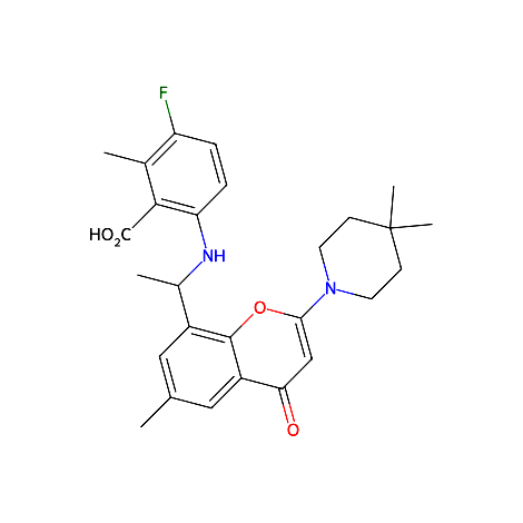 Cc1cc(C(C)Nc2ccc(F)c(C)c2C(=O)O)c2oc(N3CCC(C)(C)CC3)cc(=O)c2c1